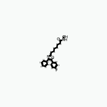 O=C(CCCCCCc1nc(-c2ccccc2)c(-c2ccc(F)cc2)o1)NO